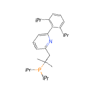 CC(C)c1cccc(C(C)C)c1-c1cccc(CC(C)(C)P(C(C)C)C(C)C)n1